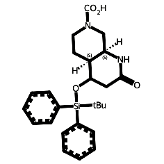 CC(C)(C)[Si](OC1CC(=O)N[C@@H]2CN(C(=O)O)CC[C@H]12)(c1ccccc1)c1ccccc1